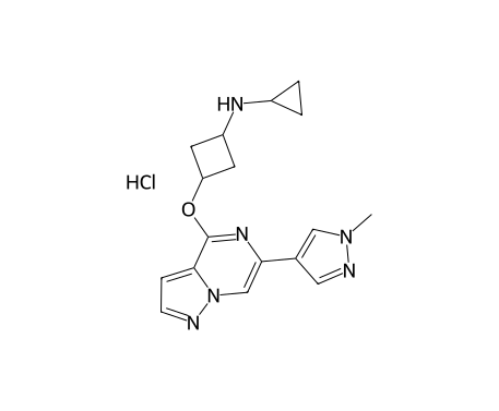 Cl.Cn1cc(-c2cn3nccc3c(OC3CC(NC4CC4)C3)n2)cn1